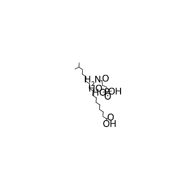 CC(C)CCCCCCCCCCCCCCC(=O)O.NC(=O)C(O)CP(=O)(O)O